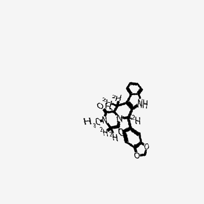 [2H]C1([2H])c2c([nH]c3ccccc23)[C@@]([2H])(c2ccc3c(c2)OCO3)N2C(=O)C([2H])([2H])N(C)C(=O)[C@H]21